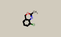 CC1=Nc2c(Cl)cccc2CO1